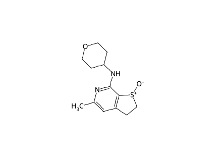 Cc1cc2c(c(NC3CCOCC3)n1)[S+]([O-])CC2